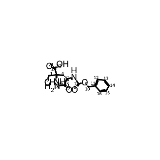 CCC(N)(C[C@H](NC(=O)OCc1ccccc1)C(N)=O)C(=O)O